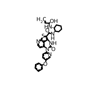 C=CC(O)N[C@@H]1CCCC[C@H]1NC(=O)c1sc2nccc3c2c1NC(=O)N3c1ccc(Oc2ccccc2)cn1